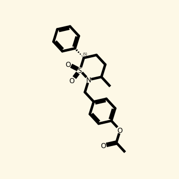 CC(=O)Oc1ccc(CN2C(C)CC[C@@H](c3ccccc3)S2(=O)=O)cc1